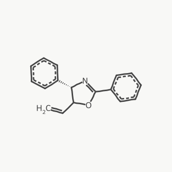 C=CC1OC(c2ccccc2)=N[C@H]1c1ccccc1